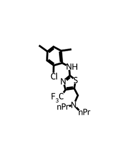 CCCN(CCC)Cc1sc(Nc2c(C)cc(C)cc2Cl)nc1C(F)(F)F